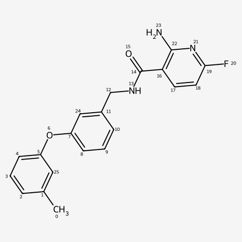 Cc1cccc(Oc2cccc(CNC(=O)c3ccc(F)nc3N)c2)c1